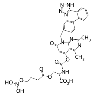 Cc1nc(C)c2c(OC(=O)NC(COC(=O)CCCON(O)O)C(=O)O)cc(=O)n(Cc3ccc(-c4ccccc4-c4nnn[nH]4)cc3)c2n1